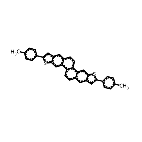 Cc1ccc(-c2cc3cc4ccc5c6cc7sc(-c8ccc(C)cc8)cc7cc6ccc5c4cc3s2)cc1